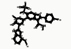 CNC(=O)c1c(-c2ccc(F)cc2)oc2cc(N(C)S(C)(=O)=O)c(-c3cc(-c4cc5c(CF)cccc5[nH]4)c(=O)n(C)c3)cc12